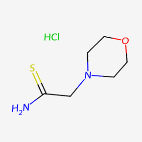 Cl.NC(=S)CN1CCOCC1